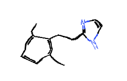 Cc1cccc(C)c1CCc1ncc[nH]1